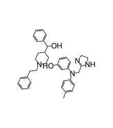 Cc1ccc(N(CC2=NCCN2)c2cccc(O)c2)cc1.OC(c1ccccc1)C1CCN(CCc2ccccc2)CC1